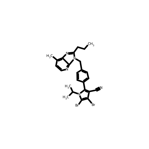 CCCc1nc2c(C)ccnc2n1Cc1ccc(-c2c(C#N)c(Br)c(Br)n2C(C)C)cc1